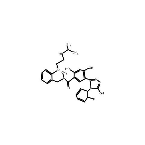 CC(C)NCCOc1ccccc1CN(C)C(=O)c1cc(-c2nnc(O)n2C2C=CC=CC2F)c(O)cc1O